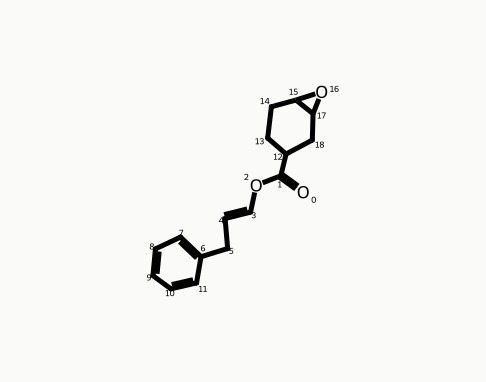 O=C(OC=CCc1ccccc1)C1CCC2OC2C1